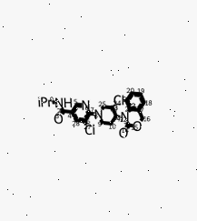 CC(C)NC(=O)c1cnc(N2CC[C@@H](N3C(=O)OCc4ccccc43)[C@@H](C)C2)c(Cl)c1